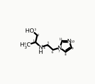 CC(CO)N[CH]Cn1ccnc1